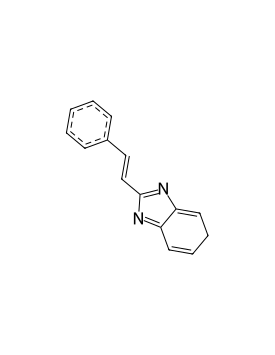 C1=CC2=NC(C=Cc3ccccc3)=NC2=CC1